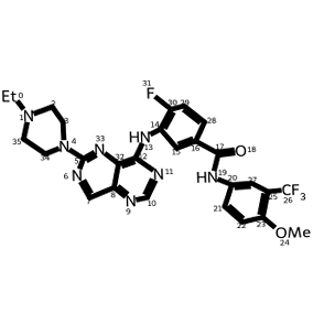 CCN1CCN(c2ncc3ncnc(Nc4cc(C(=O)Nc5ccc(OC)c(C(F)(F)F)c5)ccc4F)c3n2)CC1